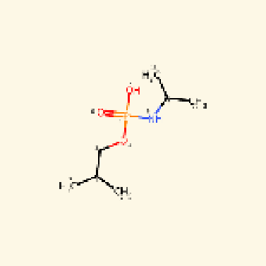 CC(C)COP(=O)(O)NC(C)C